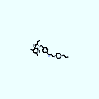 CCCN1CCN(C/C=C/c2ccc(Cn3c(CC)nc4c(C)cc(C)nc43)cc2)CC1